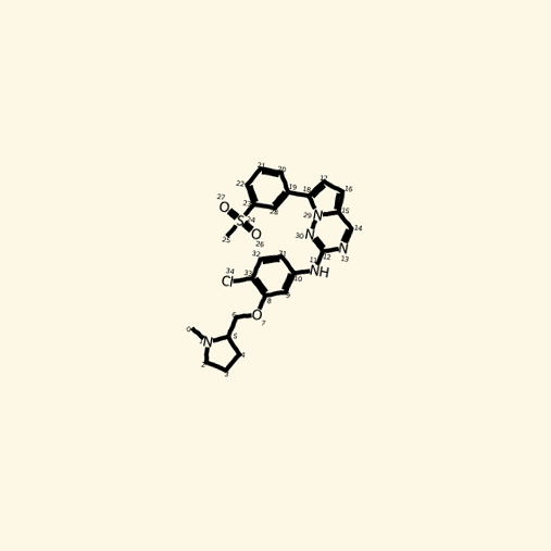 CN1CCCC1COc1cc(Nc2ncc3ccc(-c4cccc(S(C)(=O)=O)c4)n3n2)ccc1Cl